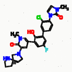 Cn1cc(-c2cc(F)cc(-c3ccc(-n4ccn(C)c4=O)c(Cl)c3)c2O)cc(N2CC[C@]3(CCCN3)C2)c1=O